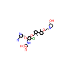 Cc1c(COc2cc(OCc3cncc(C#N)c3)c(CNC(CO)CO)cc2Cl)cccc1-c1cccc(OCCCN2CCC[C@@H](CO)C2)c1C